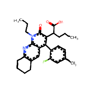 CCCC(C(=O)O)c1c(-c2ccc(C)cc2F)c2cc3c(nc2n(CCC)c1=O)CCCC3